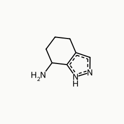 NC1CCCc2cn[nH]c21